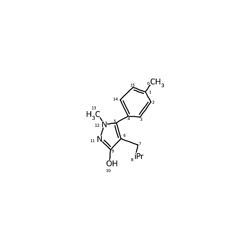 Cc1ccc(-c2c(CC(C)C)c(O)nn2C)cc1